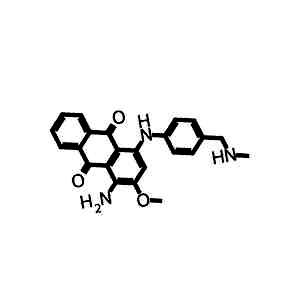 CNCc1ccc(Nc2cc(OC)c(N)c3c2C(=O)c2ccccc2C3=O)cc1